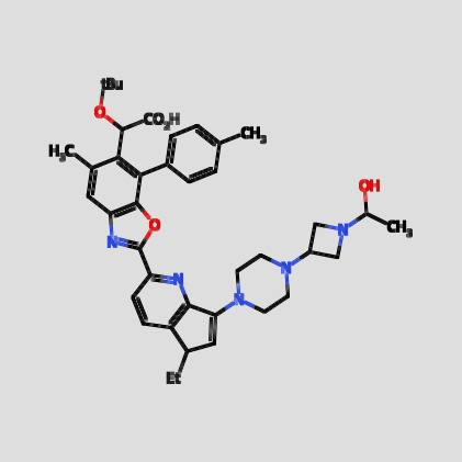 CCC1C=C(N2CCN(C3CN(C(C)O)C3)CC2)c2nc(-c3nc4cc(C)c(C(OC(C)(C)C)C(=O)O)c(-c5ccc(C)cc5)c4o3)ccc21